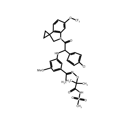 COc1cc(NC(C(=O)N2CC3(CC3)c3ccc(OC(F)(F)F)cc32)c2ccc(Cl)cc2)cc(C(C)=NOC(C)(C)C(=O)NS(C)(=O)=O)c1